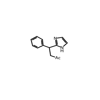 CC(=O)CC(c1ccccc1)c1ncc[nH]1